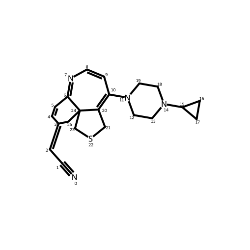 N#C/C=C1/C=CC2=NC=CC(N3CCN(C4CC4)CC3)=C3CSCC23C1